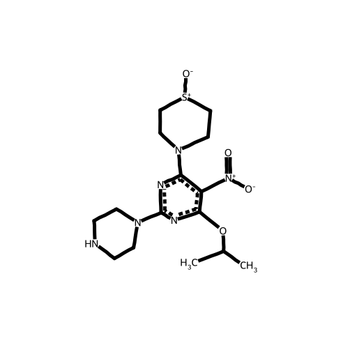 CC(C)Oc1nc(N2CCNCC2)nc(N2CC[S+]([O-])CC2)c1[N+](=O)[O-]